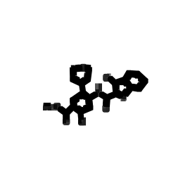 COC(=O)c1cc(-c2ccccc2)c(NC(=O)c2sc3ccccc3c2Cl)cc1Cl